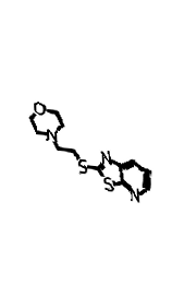 c1cnc2sc(SCCN3CCOCC3)nc2c1